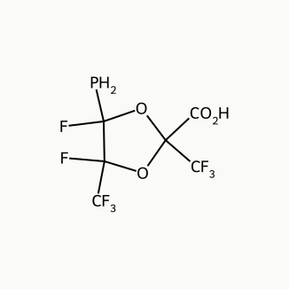 O=C(O)C1(C(F)(F)F)OC(F)(P)C(F)(C(F)(F)F)O1